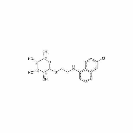 C[C@@H]1OC(OCCNc2ccnc3cc(Cl)ccc23)[C@@H](O)[C@H](O)[C@@H]1O